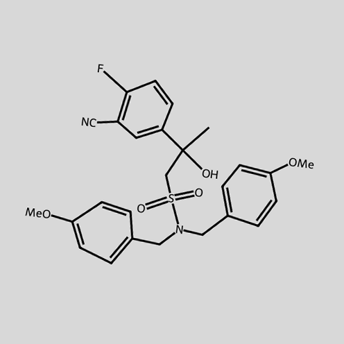 COc1ccc(CN(Cc2ccc(OC)cc2)S(=O)(=O)CC(C)(O)c2ccc(F)c(C#N)c2)cc1